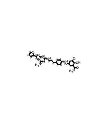 NC(=O)c1cc(SNc2ccc(CCCNc3nc(N)n4nc(-c5ccco5)nc4n3)cc2)cc(Cl)c1O